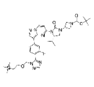 CC(C)[C@H]1CN(C2CN(C(=O)OC(C)(C)C)C2)C(=O)N1c1ccn2ncc(-c3ccc(-c4ncnn4COCC[Si](C)(C)C)c(F)c3)c2n1